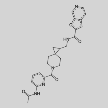 CC(=O)Nc1cccc(C(=O)N2CCC3(CC2)CC3CNC(=O)c2cc3ccncc3o2)n1